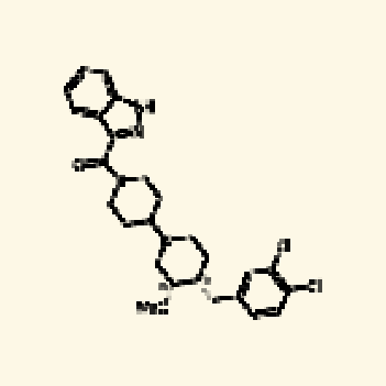 CO[C@@H]1CN(C2CCN(C(=O)c3n[nH]c4ccccc34)CC2)CC[C@@H]1Cc1ccc(Cl)c(Cl)c1